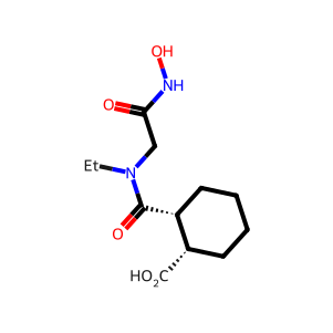 CCN(CC(=O)NO)C(=O)[C@@H]1CCCC[C@@H]1C(=O)O